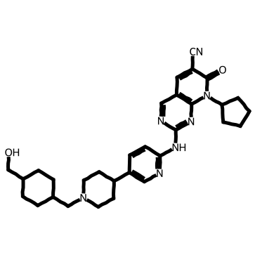 N#Cc1cc2cnc(Nc3ccc(C4CCN(CC5CCC(CO)CC5)CC4)cn3)nc2n(C2CCCC2)c1=O